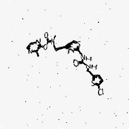 Cc1nccnc1OC(=O)N(C)Cc1csc(NC(=O)NCc2ccc(Cl)s2)n1